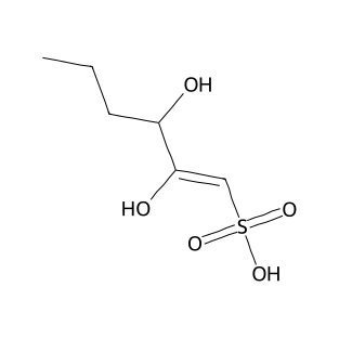 CCCC(O)C(O)=CS(=O)(=O)O